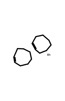 C1=C\CCCCCC/1.C1=C\CCCCCC/1.[Rh]